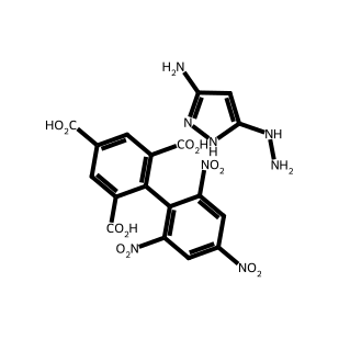 NNc1cc(N)n[nH]1.O=C(O)c1cc(C(=O)O)c(-c2c([N+](=O)[O-])cc([N+](=O)[O-])cc2[N+](=O)[O-])c(C(=O)O)c1